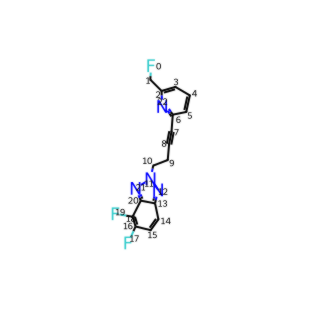 FCc1cccc(C#CCCn2nc3ccc(F)c(F)c3n2)n1